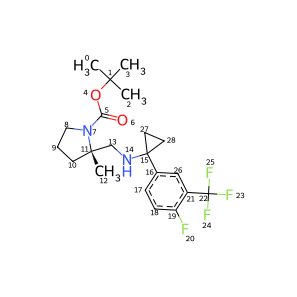 CC(C)(C)OC(=O)N1CCC[C@@]1(C)CNC1(c2ccc(F)c(C(F)(F)F)c2)CC1